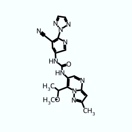 COC(C)c1c(NC(=O)Nc2cnc(-n3nccn3)c(C#N)c2)cnc2cc(C)nn12